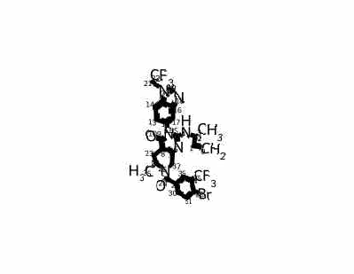 C=C[C@H](C)Nc1nc2c(c(=O)n1-c1ccc3c(c1)ncn3CC(F)(F)F)C[C@@H](C)N(C(=O)c1ccc(Br)c(C(F)(F)F)c1)C2